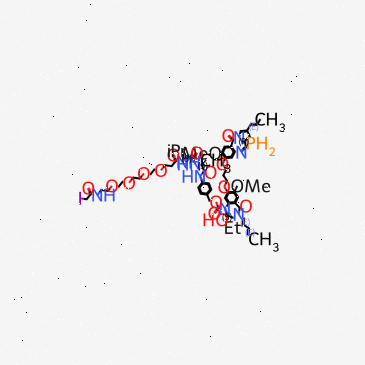 C/C=C/C1=CN2C(=O)c3cc(OC)c(OCCCOc4cc5c(cc4OC)C(=O)N(/C=C(/C=C/C)CC)C[C@H](O)N5C(=O)OCc4ccc(NC(=O)[C@H](C)NC(=O)[C@@H](NC(=O)CCOCCOCCOCCOCCNC(=O)CI)C(C)C)cc4)cc3N=C[C@]2(P)C1